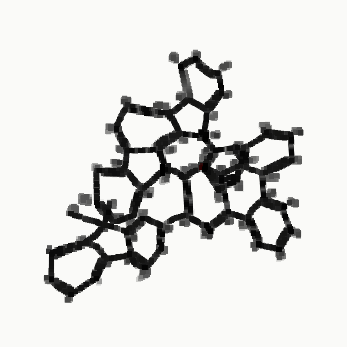 CC1(C)c2ccccc2-c2ccc(-c3nc4c5ccccc5c5ccccc5c4nc3-n3c4ccccc4c4ccc5c6ccccc6n(-c6ccccc6)c5c43)cc21